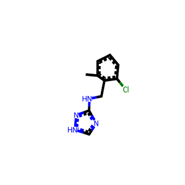 Cc1cccc(Cl)c1CNc1nc[nH]n1